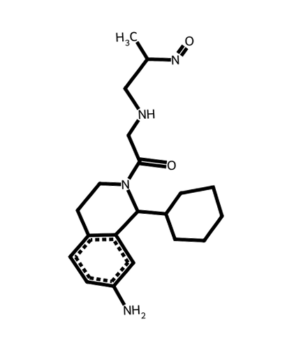 CC(CNCC(=O)N1CCc2ccc(N)cc2C1C1CCCCC1)N=O